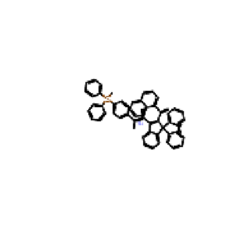 C=C(C1=C(/C(C)=C(\C)c2ccc(S(C)(c3ccccc3)c3ccccc3)cc2)c2ccccc2C1(c1ccccc1C)c1ccccc1C)c1cccc2ccccc12